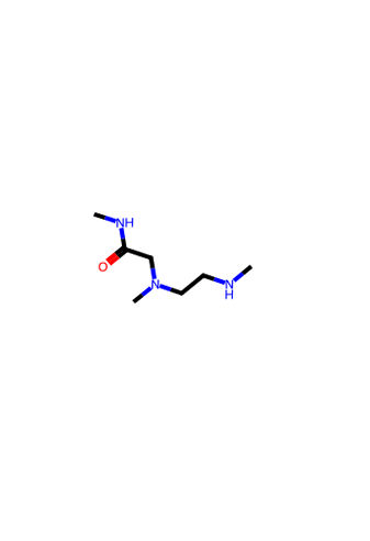 CNCCN(C)CC(=O)NC